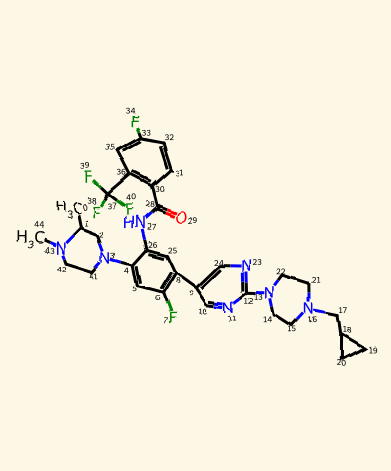 CC1CN(c2cc(F)c(-c3cnc(N4CCN(CC5CC5)CC4)nc3)cc2NC(=O)c2ccc(F)cc2C(F)(F)F)CCN1C